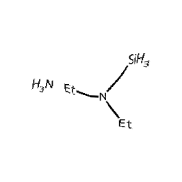 CCN([SiH3])CC.N